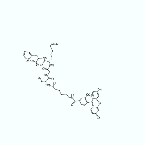 CNC(=O)[C@H](Cc1ccccc1)NC(=O)[C@H](CCCCNC(C)=O)NC(=O)CNC(=O)[C@H](CC(C)C)NC(=O)CCCCCNC(=O)c1ccc(-c2c3ccc(=O)cc-3oc3cc(O)ccc23)c(C(=O)O)c1